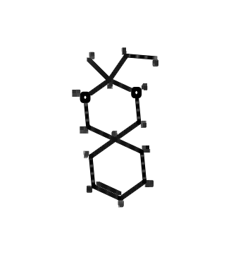 CCC1(C)OCC2(CC=CCC2)CO1